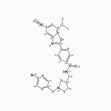 [C-]#[N+]c1cc(C(C)C)c2oc(-c3ccc(C(=O)NCC4CCN(Cc5ccc(Br)cc5)C4)cc3)nc2c1